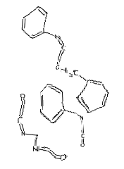 Cc1ccccc1.O=C=NCN=C=O.O=C=Nc1ccccc1.O=C=Nc1ccccc1